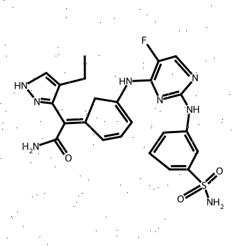 CCc1c[nH]nc1C(C(N)=O)=C1C=CC=C(Nc2nc(Nc3cccc(S(N)(=O)=O)c3)ncc2F)C1